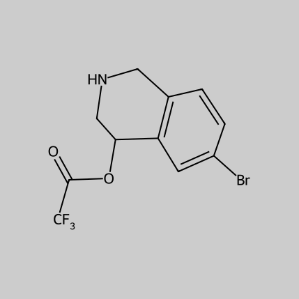 O=C(OC1CNCc2ccc(Br)cc21)C(F)(F)F